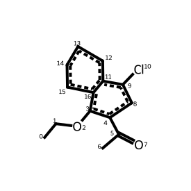 CCOc1c(C(C)=O)cc(Cl)c2ccccc12